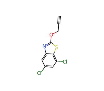 C#CCOc1nc2cc(Cl)cc(Cl)c2s1